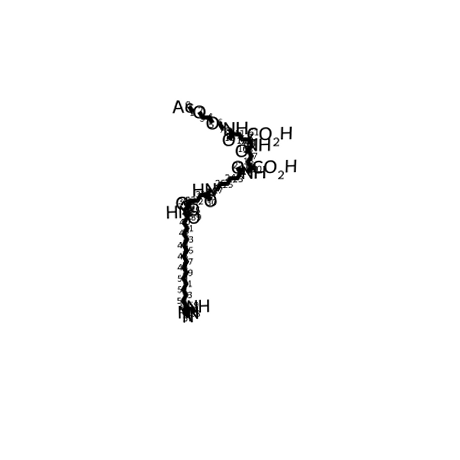 CC(=O)COCCOCCNC(=O)CC[C@H](NC(=O)CC[C@H](NC(=O)CCCCCNC(=O)CCCS(=O)(=O)NC(=O)CCCCCCCCCCCCCCCc1nnn[nH]1)C(=O)O)C(=O)O